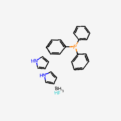 B.F.c1cc[nH]c1.c1cc[nH]c1.c1ccc(P(c2ccccc2)c2ccccc2)cc1